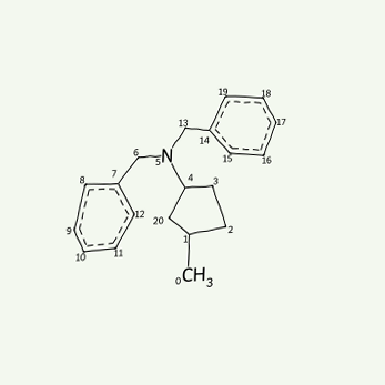 CC1CCC(N(Cc2ccccc2)Cc2ccccc2)C1